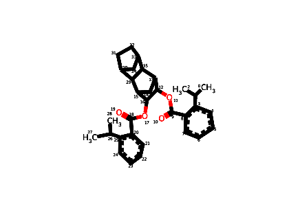 CC(C)c1ccccc1C(=O)OC1C2CC(C1OC(=O)c1ccccc1C(C)C)C1C3CCC(C3)C21